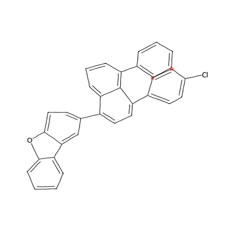 Clc1ccc(-c2ccc(-c3ccc4oc5ccccc5c4c3)c3cccc(-c4ccccc4)c23)cc1